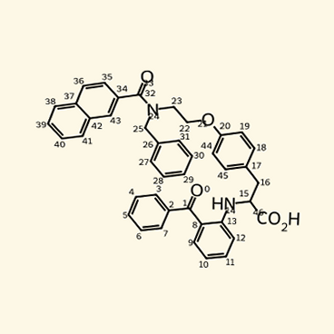 O=C(c1ccccc1)c1ccccc1NC(Cc1ccc(OCCN(Cc2ccccc2)C(=O)c2ccc3ccccc3c2)cc1)C(=O)O